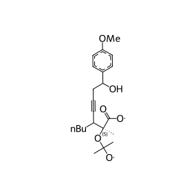 CCCCC(C#CCC(O)c1ccc(OC)cc1)[C@](C)(OC(C)(C)[O])C([O])=O